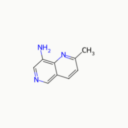 Cc1ccc2cncc(N)c2n1